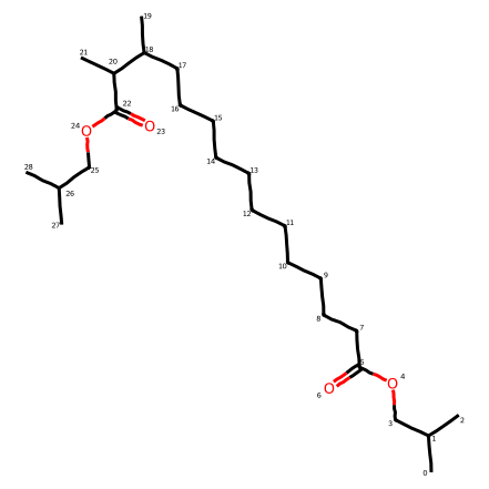 CC(C)COC(=O)CCCCCCCCCCCC(C)C(C)C(=O)OCC(C)C